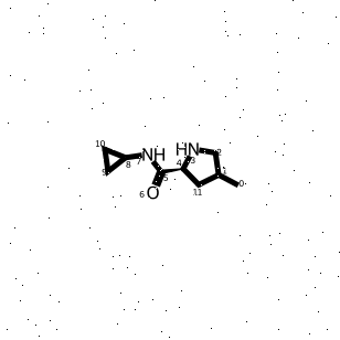 CC1CN[C@H](C(=O)NC2CC2)C1